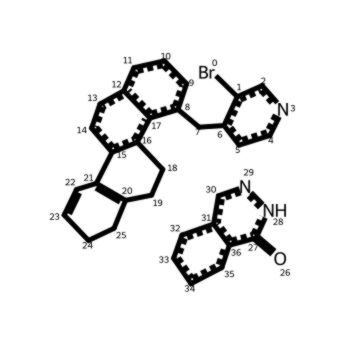 Brc1cnccc1Cc1cccc2ccc3c(c12)CCC1=C3C=CCC1.O=c1[nH]ncc2ccccc12